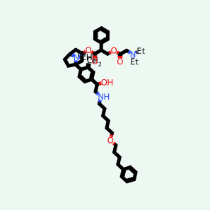 C=C1C=C(C(O)CNCCCCCCOCCCCc2ccccc2)C=CC1C12CCC(CC(OC(=O)C(COC(=O)CN(CC)CC)c3ccccc3)C1)[N+]2(C)C(C)C